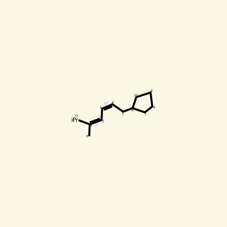 C/C(=C/C=C\CC1CCCC1)C(C)C